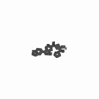 CC1(C(=O)N2CCCC2)CC(Nc2ncc3c(-c4ccn5nccc5c4)c[nH]c3n2)C1